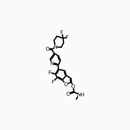 CNC(=O)Oc1cc2cc(-c3ccc(C(=O)N4CCC(F)(F)CC4)cn3)c(F)c(F)c2o1